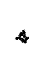 COc1ccc(C2=NN(C3CCN(C(=O)[C@@H](Cc4ccc(F)cc4)NC(=O)c4c[nH]c5c(-c6c(OCC7CC7)ccc7c6OCO7)ncnc45)CC3)C(=O)[C@@H]3CCCC[C@H]23)cc1OC